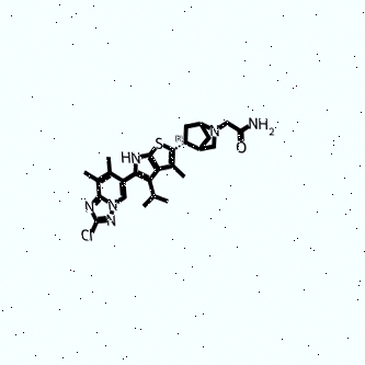 Cc1c(-c2[nH]c3sc([C@@H]4CC5CC4CN5CC(N)=O)c(C)c3c2C(C)C)cn2nc(Cl)nc2c1C